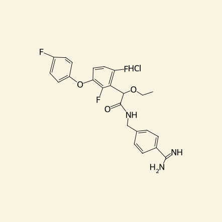 CCOC(C(=O)NCc1ccc(C(=N)N)cc1)c1c(F)ccc(Oc2ccc(F)cc2)c1F.Cl